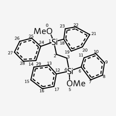 CO[Si](CC[Si](OC)(c1ccccc1)c1ccccc1)(c1ccccc1)c1ccccc1